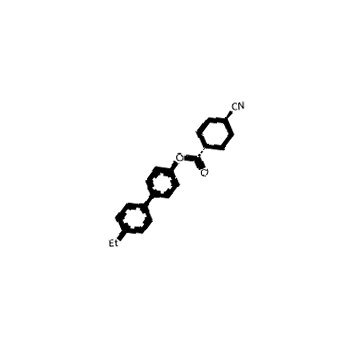 CCc1ccc(-c2ccc(OC(=O)[C@H]3CC[C@H](C#N)CC3)cc2)cc1